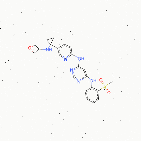 CS(=O)(=O)c1ccccc1Nc1cc(Nc2ccc(C3(NC4COC4)CC3)cn2)ncn1